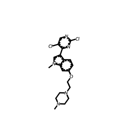 CN1CCN(CCOc2ccc3c(-c4nc(Cl)ncc4Cl)cn(C)c3c2)CC1